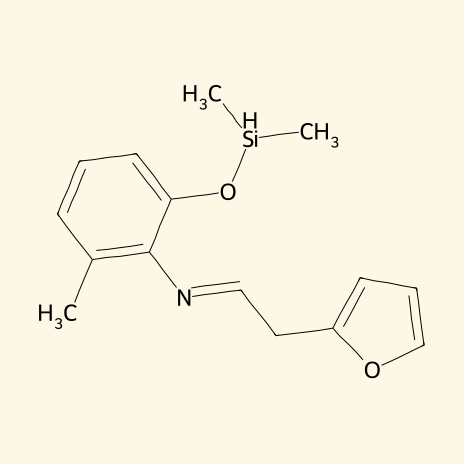 Cc1cccc(O[SiH](C)C)c1N=CCc1ccco1